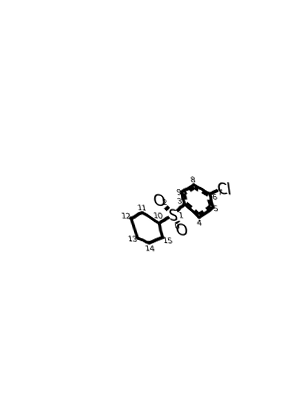 O=S(=O)(c1ccc(Cl)cc1)C1CCCCC1